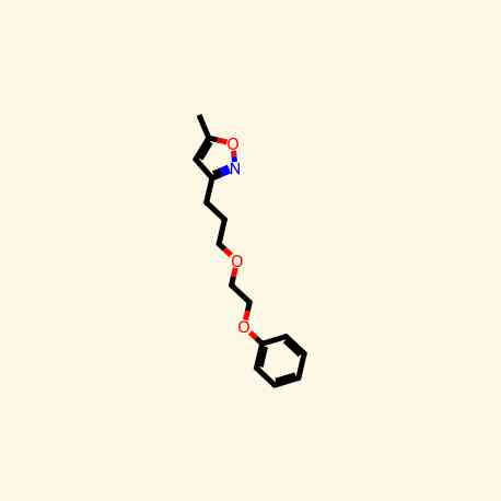 Cc1cc(CCCOCCOc2ccccc2)no1